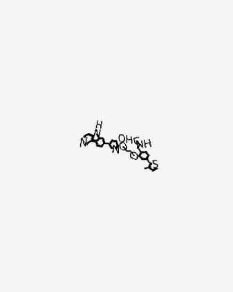 Cc1ccsc1-c1ccc(CNC=O)c(OCCOc2ccc(-c3ccc4c(c3)[nH]c3ccncc34)cn2)c1